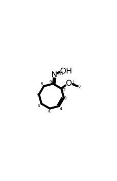 COC1C=CCCCCC1=NO